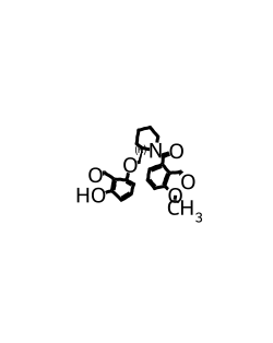 COc1cccc(C(=O)N2CCCC[C@@H]2COc2cccc(O)c2C=O)c1C=O